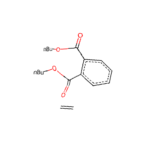 C=C.CCCCOC(=O)c1ccccc1C(=O)OCCCC